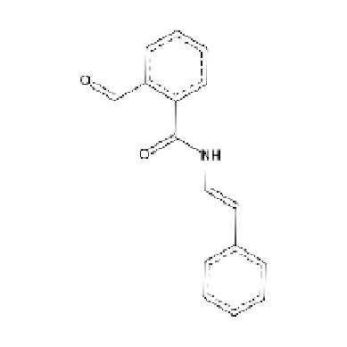 O=Cc1ccccc1C(=O)NC=Cc1ccccc1